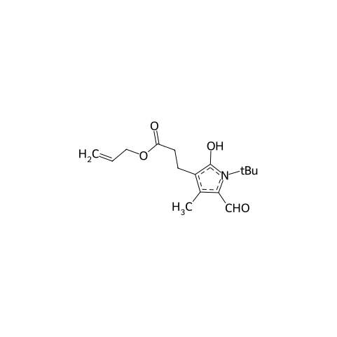 C=CCOC(=O)CCc1c(C)c(C=O)n(C(C)(C)C)c1O